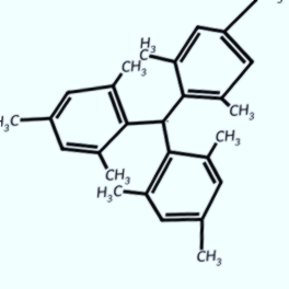 Cc1cc(C)c([C](c2c(C)cc(C)cc2C)c2c(C)cc(C)cc2C)c(C)c1